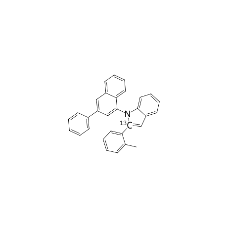 Cc1ccccc1-[13c]1cc2ccccc2n1-c1cc(-c2ccccc2)cc2ccccc12